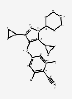 Cc1cc(Oc2c(C3CC3)nn(C3CCOCC3)c2C2CC2)cc(C)c1C#N